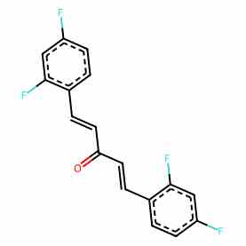 O=C(/C=C/c1ccc(F)cc1F)/C=C/c1ccc(F)cc1F